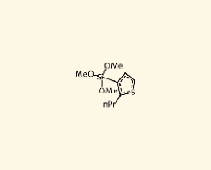 CCCc1sccc1[Si](OC)(OC)OC